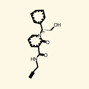 C#CCNC(=O)c1cccn([C@@H](CO)c2ccccc2)c1=O